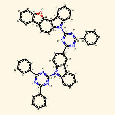 c1ccc(-c2nc(-c3ccccc3)nc(-n3c4ccccc4c4cc(-c5nc(-c6ccccc6)nc(-n6c7ccccc7c7c8oc9ccccc9c8ccc76)n5)ccc43)n2)cc1